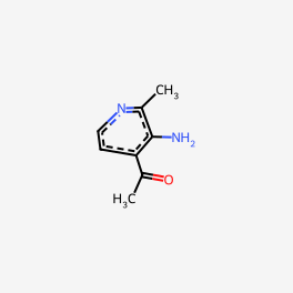 CC(=O)c1ccnc(C)c1N